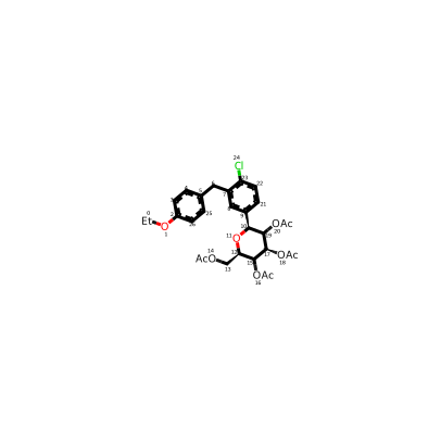 CCOc1ccc(Cc2cc([C@@H]3O[C@H](COC(C)=O)C(OC(C)=O)[C@H](OC(C)=O)C3OC(C)=O)ccc2Cl)cc1